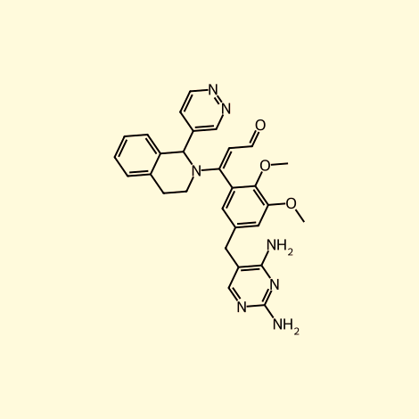 COc1cc(Cc2cnc(N)nc2N)cc(C(=CC=O)N2CCc3ccccc3C2c2ccnnc2)c1OC